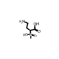 CP(=O)(O)C(CCN)C(=O)O